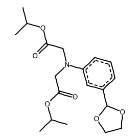 CC(C)OC(=O)CN(CC(=O)OC(C)C)c1cccc(C2OCCO2)c1